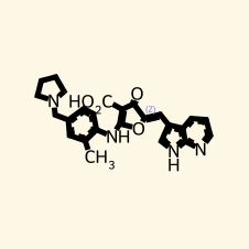 Cc1cc(CN2CCCC2)ccc1NC1=C(C(=O)O)C(=O)/C(=C/c2c[nH]c3ncccc23)O1